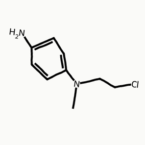 CN(CCCl)c1ccc(N)cc1